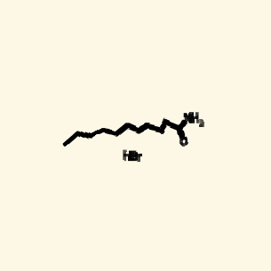 Br.CCCCCCCCCCC(N)=O